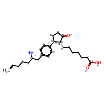 C=CCCCC(N)Cc1ccc([C@H]2CCC(=O)[C@@H]2CCCCCCC(=O)O)cc1